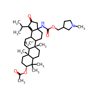 CC(=O)O[C@H]1CC[C@@]2(C)C(CC[C@]3(C)C2CCC2C4=C(C(C)C)C(=O)CC4(NC(=O)OCC4CCN(C)C4)CC[C@]23C)C1(C)C